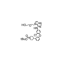 CC(C)(C)OC(=O)N1CCC(c2cccc(Oc3ccc(Nc4ncnc5ccn(CCOCCO)c45)cc3Cl)c2)CC1